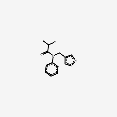 CC(Cl)C(=O)N(Cn1cnnc1)c1ccccc1